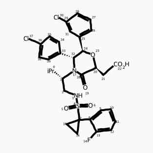 CC(C)[C@@H](CNS(=O)(=O)C1(c2ccccc2F)CC1)N1C(=O)[C@H](CC(=O)O)O[C@H](c2cccc(Cl)c2)[C@H]1c1ccc(Cl)cc1